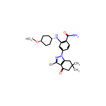 CCc1nn(-c2ccc(C(N)=O)c(N[C@H]3CC[C@H](OS(=O)(=O)O)CC3)c2)c2c1C(=O)CC(C)(C)C2